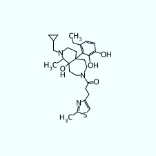 CCc1ccc(O)c(O)c1C12CCN(C(=O)CCc3csc(C)n3)CCC1(O)C(C)N(CC1CC1)CC2